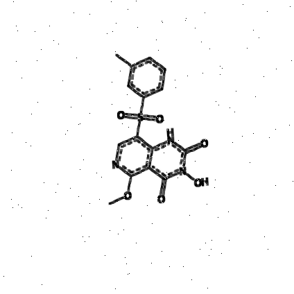 COc1ncc(S(=O)(=O)c2cccc(C)c2)c2[nH]c(=O)n(O)c(=O)c12